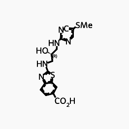 CSc1cnc(NC[C@@H](O)CNc2nc3ccc(C(=O)O)cc3s2)nc1